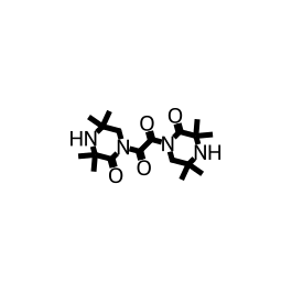 CC1(C)CN(C(=O)C(=O)N2CC(C)(C)NC(C)(C)C2=O)C(=O)C(C)(C)N1